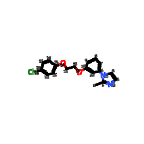 Cc1nccn1-c1cccc(OCCOc2ccc(Cl)cc2)c1